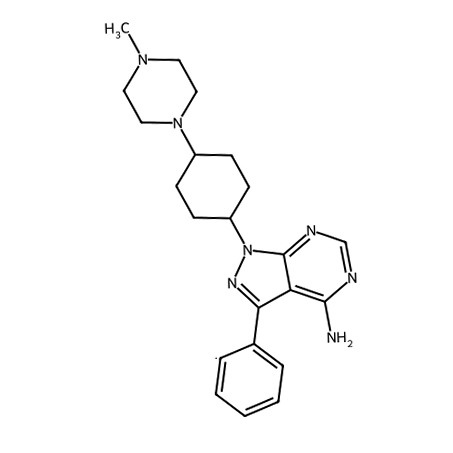 CN1CCN(C2CCC(n3nc(-c4[c]cccc4)c4c(N)ncnc43)CC2)CC1